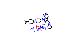 CC(C)=C1CCC(N2CCC(n3c(CCNS(N)(=O)=O)c(CN4CCCC4)c4cccnc43)CC2)CC1